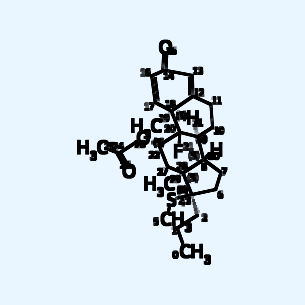 CCC[C@@]1(SC)CC[C@H]2[C@@H]3CCC4=CC(=O)C=C[C@]4(C)C3(F)[C@@H](OC(C)=O)C[C@@]21C